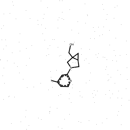 OCC12CC1CN(c1cc(I)ccn1)C2